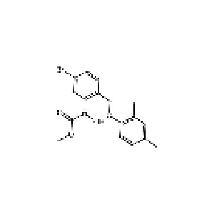 COC(=O)N(O)c1cc(Br)ccc1COc1ccc(C)cc1C